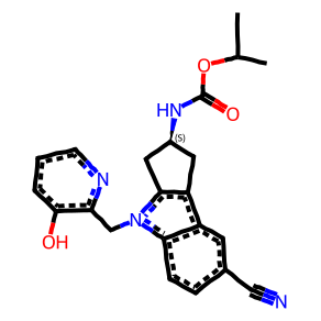 CC(C)OC(=O)N[C@H]1Cc2c(n(Cc3ncccc3O)c3ccc(C#N)cc23)C1